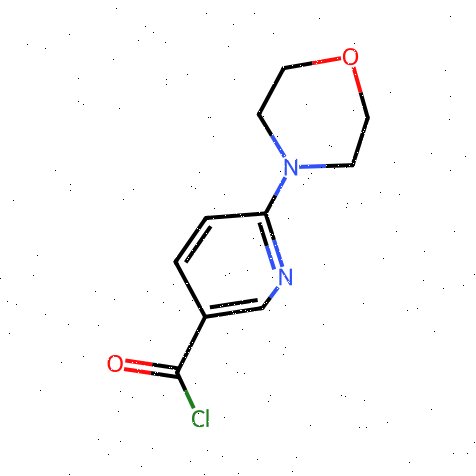 O=C(Cl)c1ccc(N2CCOCC2)nc1